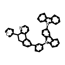 c1ccc(C2Cc3ccc(-c4cccc(-n5c6ccccc6c6cc(-n7c8ccccc8c8ccccc87)ccc65)c4)cc3-c3cccnc32)cc1